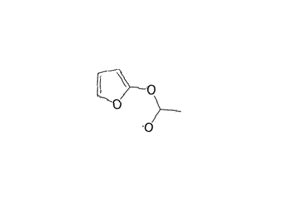 CC([O])Oc1ccco1